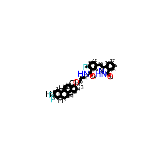 C[C@]12CCC(F)(F)C[C@@H]1CC[C@@H]1[C@@H]2CC[C@]2(C)[C@@H](OCCCNC(=O)c3cc(Cc4n[nH]c(=O)c5ccccc45)ccc3F)CC[C@@H]12